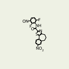 O=Nc1ccc(F)c(NC(=O)c2nc3c(s2)-c2ccc([N+](=O)[O-])cc2CCC3)c1F